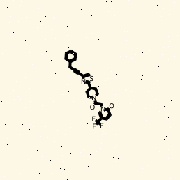 O=C(Cn1cc(C(F)(F)F)ccc1=O)N1CCC(c2nc(C#CCc3ccccc3)cs2)CC1